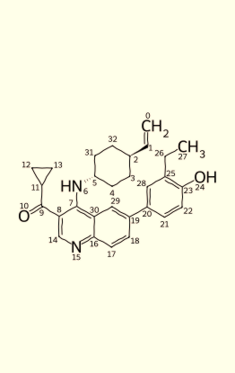 C=C[C@H]1CC[C@H](Nc2c(C(=O)C3CC3)cnc3ccc(-c4ccc(O)c(CC)c4)cc23)CC1